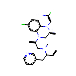 C=CCN(C(=C)CN(C)C(C=C)Cc1cccnc1)c1cc(Cl)ccc1N(N)/C=C(\N)Cl